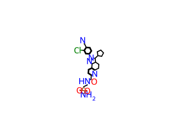 N#Cc1ccc(N2N=C3c4ccc(C(=O)NCCS(N)(=O)=O)nc4CCC3C2C2CCCC2)cc1Cl